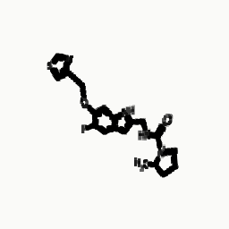 CC1CCCN1C(=O)NCc1cc2cc(F)c(OCc3cscn3)cc2[nH]1